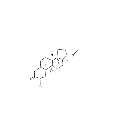 COC1CC[C@H]2[C@@H]3CCC4CC(=O)C(Cl)C[C@]4(C)[C@@H]3CC[C@]12C